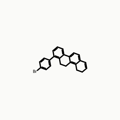 Brc1ccc(-c2cccc3c2CCc2c-3ccc3c2CCC=C3)cc1